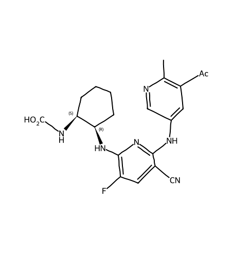 CC(=O)c1cc(Nc2nc(N[C@@H]3CCCC[C@@H]3NC(=O)O)c(F)cc2C#N)cnc1C